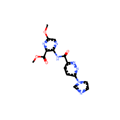 COC(=O)c1nc(OC)cnc1NC(=O)c1ccc(-n2ccnc2)nn1